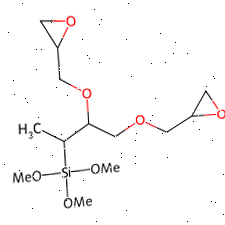 CO[Si](OC)(OC)C(C)C(COCC1CO1)OCC1CO1